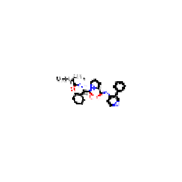 CN[C@@H](C)C(=O)N[C@H](C(=O)N1CCC[C@H]1C(=O)Nc1ccncc1-c1ccccc1)C1CCCCC1